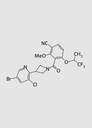 COc1c(C#N)ccc(OC(C)C(F)(F)F)c1C(=O)N1CC(c2ncc(Br)cc2Cl)C1